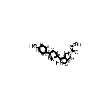 CC(C)(C)OC(=O)N1CC2=C(c3ccc(-c4ccc(O)cc4)nn3)NCC2C1